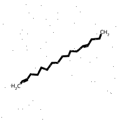 [CH2]C=CCCCCCCCCCCC=CCCC